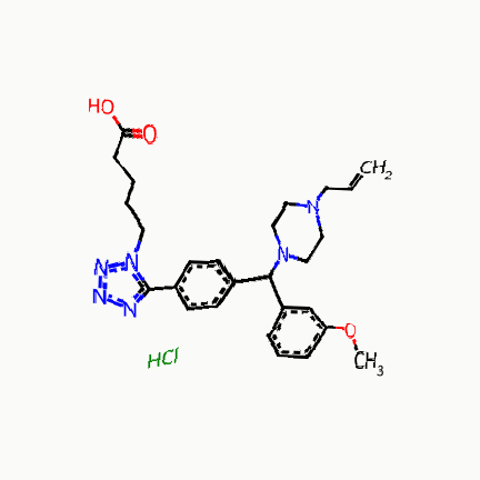 C=CCN1CCN(C(c2ccc(-c3nnnn3CCCCC(=O)O)cc2)c2cccc(OC)c2)CC1.Cl